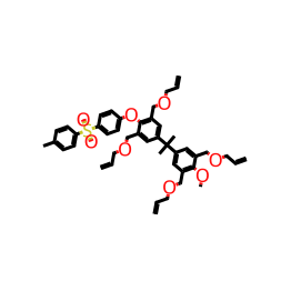 C=CCOCc1cc(C(C)(C)c2cc(COCC=C)c(Oc3ccc(S(=O)(=O)c4ccc(C)cc4)cc3)c(COCC=C)c2)cc(COCC=C)c1OC